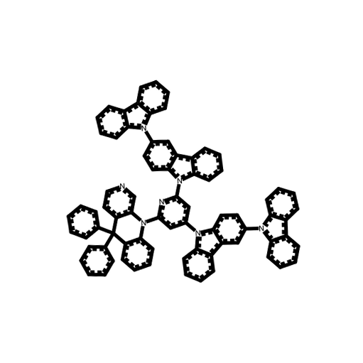 c1ccc(C2(c3ccccc3)c3ccccc3N(c3cc(-n4c5ccccc5c5cc(-n6c7ccccc7c7ccccc76)ccc54)cc(-n4c5ccccc5c5cc(-n6c7ccccc7c7ccccc76)ccc54)n3)c3cnccc32)cc1